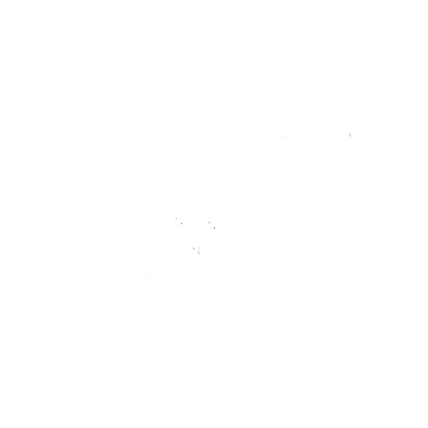 c1ccc(-c2nc(-c3ccc4c(ccc5ccccc54)c3)nc(-c3cccc4oc5cc(-c6cc7c8ccccc8sc7c7ccccc67)ccc5c34)n2)cc1